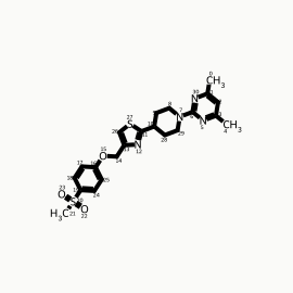 Cc1cc(C)nc(N2CCC(c3nc(COc4ccc(S(C)(=O)=O)cc4)cs3)CC2)n1